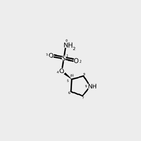 NS(=O)(=O)O[C@@H]1CCNC1